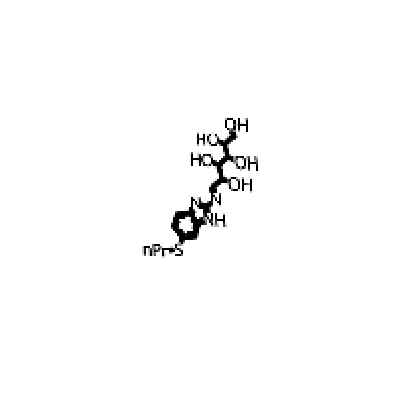 CCCSc1ccc2nc(/N=C/C(O)C(O)C(O)C(O)CO)[nH]c2c1